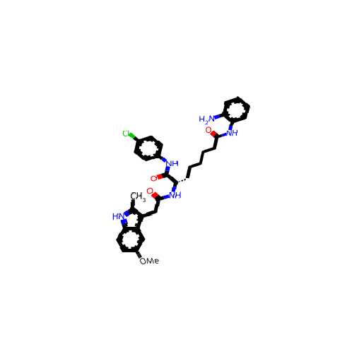 COc1ccc2[nH]c(C)c(CC(=O)N[C@@H](CCCCCC(=O)Nc3ccccc3N)C(=O)Nc3ccc(Cl)cc3)c2c1